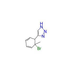 CC1(Br)C=CC=CC1c1c[nH]nn1